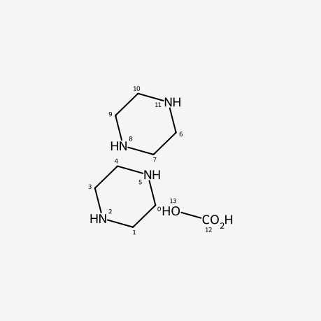 C1CNCCN1.C1CNCCN1.O=C(O)O